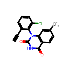 C#Cc1cccc(Cl)c1-n1c(=O)[nH]c(=O)c2ccc(C(F)(F)F)cc21